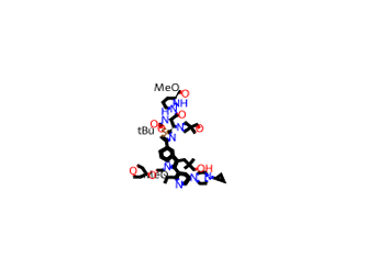 COC(=O)[C@@H]1CCCN(C(=O)[C@@H](NC(=O)OC(C)(C)C)[C@@H](c2nc(-c3ccc4c(c3)c(CC(C)(C)CO)c(-c3cc(N5CCN(C6CC6)CC5)cnc3[C@H](C)OC)n4CCOC3CCOCC3)cs2)N2CC3(COC3)C2)N1